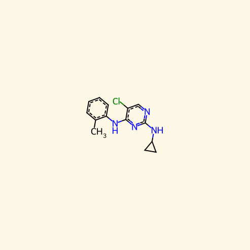 Cc1ccccc1Nc1nc(NC2CC2)ncc1Cl